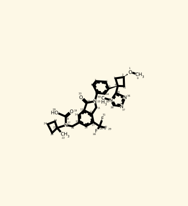 CO[C@H]1C[C@@](c2cccc(N3Cc4c(cc(CN(C(=O)O)C5(C)CCC5)cc4C(F)(F)F)C3=O)c2)(c2nncn2C)C1